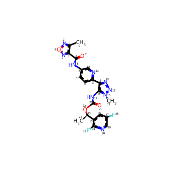 Cc1nonc1C(=O)Nc1ccc(-c2nnn(C)c2NC(=O)O[C@H](C)c2cc(F)cnc2F)nc1